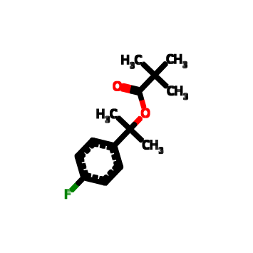 CC(C)(C)C(=O)OC(C)(C)c1ccc(F)cc1